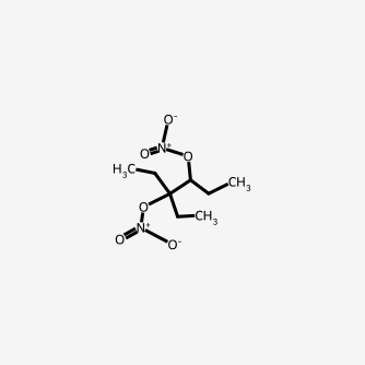 CCC(O[N+](=O)[O-])C(CC)(CC)O[N+](=O)[O-]